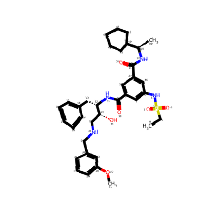 CCS(=O)(=O)Nc1cc(C(=O)N[C@@H](Cc2ccccc2)[C@H](O)CNCc2cccc(OC)c2)cc(C(=O)N[C@H](C)C2CCCCC2)c1